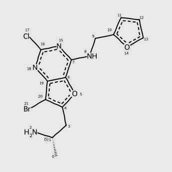 C[C@H](N)Cc1oc2c(NCc3ccco3)nc(Cl)nc2c1Br